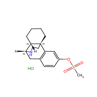 CS(=O)(=O)Oc1ccc2c(c1)[C@@]13CCCC[C@H]1[C@@H](C2)NCC3.Cl